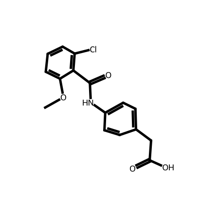 COc1cccc(Cl)c1C(=O)Nc1ccc(CC(=O)O)cc1